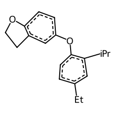 CCc1ccc(Oc2ccc3c(c2)CCO3)c(C(C)C)c1